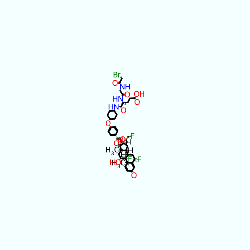 C[C@]12C=CC(=O)C=C1[C@@H](F)C[C@H]1[C@@H]3C[C@H]4O[C@@H](c5ccc(OC6CCC(NC(=O)[C@H](CCC(=O)O)NC(=O)CNC(=O)CBr)CC6)cc5)O[C@@]4(C(=O)SCF)[C@@]3(C)C[C@H](O)[C@@]12F